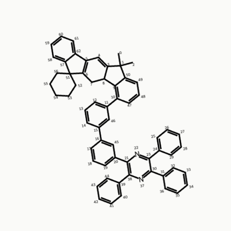 CC1(C)C2=CC3=C(CC2c2c(-c4cccc(-c5cccc(-c6nc(-c7ccccc7)c(-c7ccccc7)nc6-c6ccccc6)c5)c4)cccc21)C1(CCCCC1)c1ccccc13